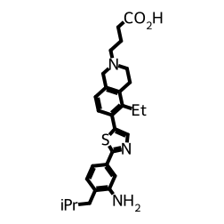 CCc1c(-c2cnc(-c3ccc(CC(C)C)c(N)c3)s2)ccc2c1CCN(CCCC(=O)O)C2